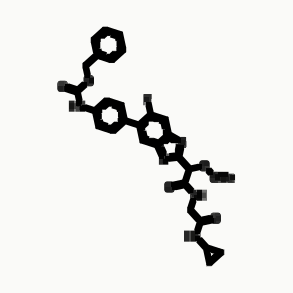 COOC(C(=O)NCC(=O)NC1CC1)c1nc2cc(-c3ccc(NC(=O)OCc4ccccc4)cc3)c(F)cc2s1